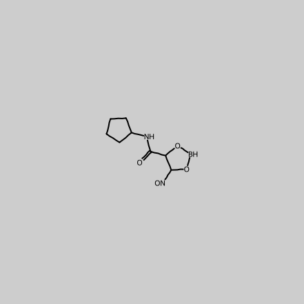 O=NC1OBOC1C(=O)NC1CCCC1